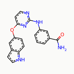 NC(=O)c1cccc(Nc2nccc(Oc3ccc4[nH]ccc4c3)n2)c1